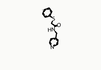 O=C(CSc1cc[c]cc1)NCc1ccncc1